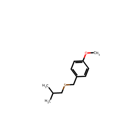 COc1ccc(CSCC(C)C)cc1